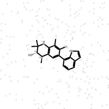 Cc1c(Cl)c(-c2cccc3cc[nH]c23)cc2c1NC(C)(C)[C@@H](O)[C@@H]2C